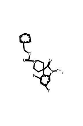 CN1C(=O)C2(CCN(C(=O)OCc3ccccc3)CC2)c2c(F)cc(F)cc21